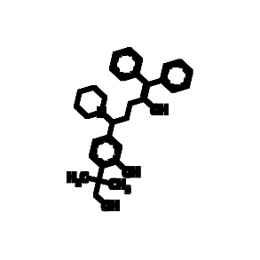 CC(C)(CO)c1ccc(C(CCC(O)=C(c2ccccc2)c2ccccc2)N2CCCCC2)cc1O